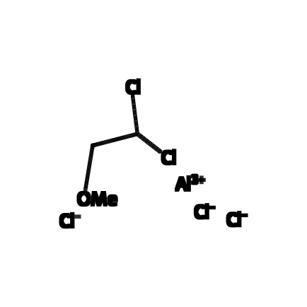 COCC(Cl)Cl.[Al+3].[Cl-].[Cl-].[Cl-]